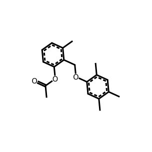 CC(=O)Oc1cccc(C)c1COc1cc(C)c(C)cc1C